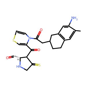 Cc1cc2c(cc1N)CC(CC(=O)N1C=CSC=C1C(=O)C1C(=S)CN[C@@H]1C=O)CC2